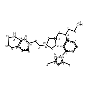 Cc1cc(C)n(-c2cccc(C(CCO)CN3CC[C@@H](CCc4ccc5c(n4)NCCC5)C3)c2)n1